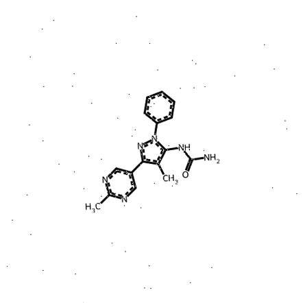 Cc1ncc(-c2nn(-c3ccccc3)c(NC(N)=O)c2C)cn1